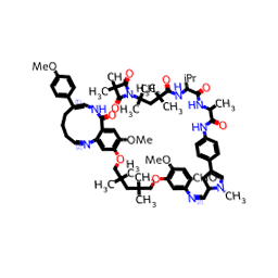 COc1ccc(/C2=C/NC(=O)c3cc(OC)c(OCC(C)(C)CC(C)(C)COc4cc(/N=C\C5CC(c6ccc(NC(=O)C(C)NC(=O)C(NC(=O)C(C)(C)CC(C)(C)N7C(=O)C(C)(C)C7=O)C(C)C)cc6)=CN5C)c(C=O)cc4OC)cc3/N=C\CCC2)cc1